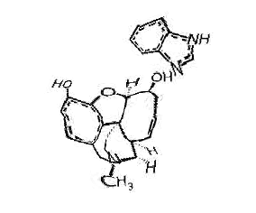 CN1CC[C@]23c4c5ccc(O)c4O[C@H]2[C@@H](O)C=C[C@H]3[C@H]1C5.c1ccc2[nH]cnc2c1